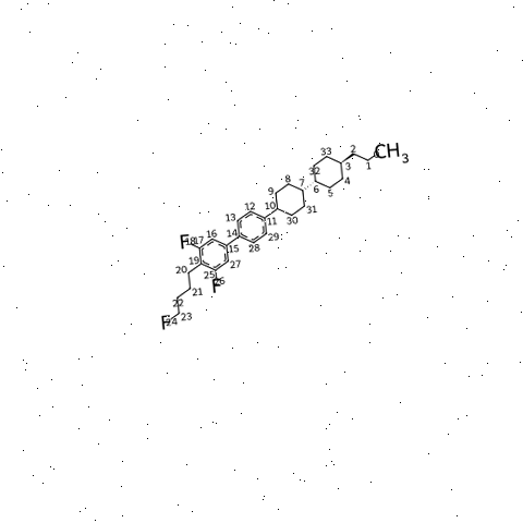 CCC[C@H]1CC[C@H](C2CCC(c3ccc(-c4cc(F)c(CCCCF)c(F)c4)cc3)CC2)CC1